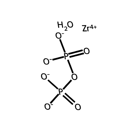 O.O=P([O-])([O-])OP(=O)([O-])[O-].[Zr+4]